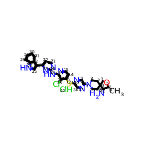 C[C@@H]1OCC2(CCN(c3cnc(Sc4ccnc(Nc5nccc(-c6c[nH]c7ccccc67)n5)c4Cl)cn3)CC2)[C@@H]1N.Cl